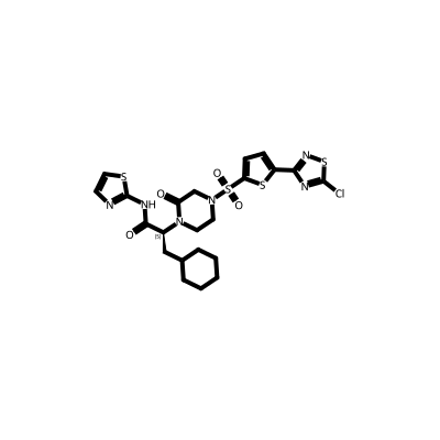 O=C(Nc1nccs1)[C@H](CC1CCCCC1)N1CCN(S(=O)(=O)c2ccc(-c3nsc(Cl)n3)s2)CC1=O